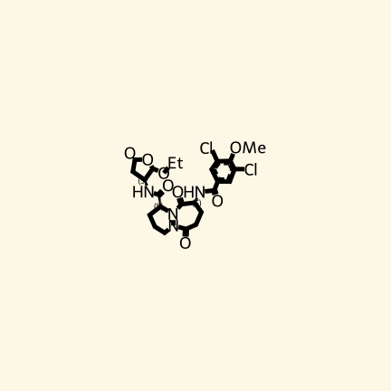 CCOC1OC(=O)C[C@@H]1NC(=O)[C@@H]1CCCN2C(=O)CC[C@H](NC(=O)c3cc(Cl)c(OC)c(Cl)c3)C(=O)N12